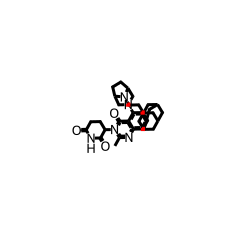 Cc1nc2cccc(N3CC4CCC(C3)N4CCC34CC5CC(CC(C5)C3)C4)c2c(=O)n1C1CCC(=O)NC1=O